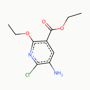 CCOC(=O)c1cc(N)c(Cl)nc1OCC